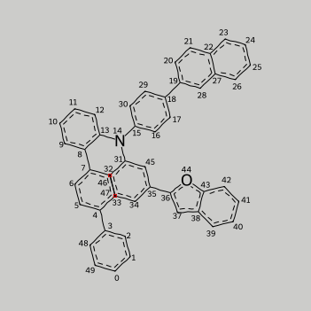 c1ccc(-c2ccc(-c3ccccc3N(c3ccc(-c4ccc5ccccc5c4)cc3)c3cccc(-c4cc5ccccc5o4)c3)cc2)cc1